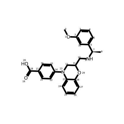 COc1cccc([C@@H](C)NCC2CN(c3ccc(C(=O)O)cc3)c3ccccc3O2)c1